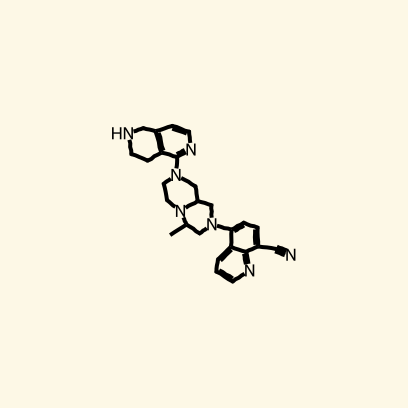 CC1CN(c2ccc(C#N)c3ncccc23)CC2CN(c3nccc4c3CCNC4)CCN12